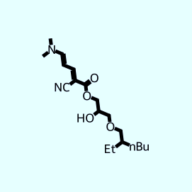 CCCCC(CC)COCC(O)COC(=O)/C(C#N)=C/C=C/N(C)C